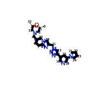 C[C@@H]1CN(Cc2ccc3nc(Cn4cc(-c5cncc(-n6cccc6)c5)nn4)cn3c2)C[C@H](C)O1